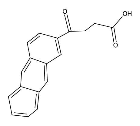 O=C(O)CCC(=O)c1ccc2cc3ccccc3cc2c1